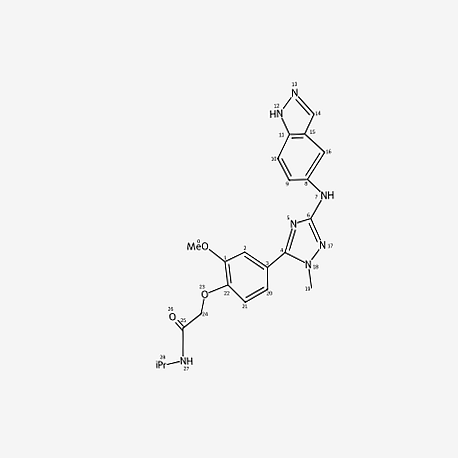 COc1cc(-c2nc(Nc3ccc4[nH]ncc4c3)nn2C)ccc1OCC(=O)NC(C)C